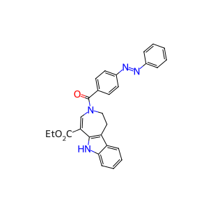 CCOC(=O)C1=CN(C(=O)c2ccc(N=Nc3ccccc3)cc2)CCc2c1[nH]c1ccccc21